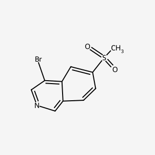 CS(=O)(=O)c1ccc2cncc(Br)c2c1